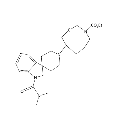 CCOC(=O)N1CCCC(N2CCC3(CC2)CN(C(=O)N(C)C)c2ccccc23)CCC1